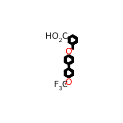 O=C(O)c1cccc(COc2ccc(-c3ccc(OC(F)(F)F)cc3)cc2)c1